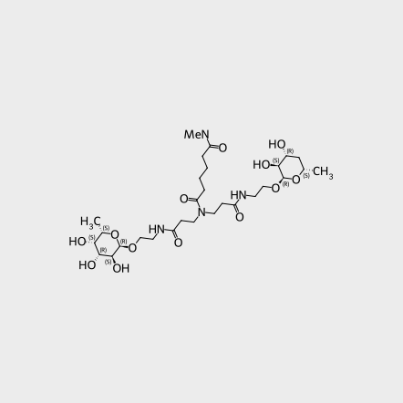 CNC(=O)CCCCC(=O)N(CCC(=O)NCCO[C@@H]1O[C@@H](C)[C@@H](O)[C@@H](O)[C@@H]1O)CCC(=O)NCCO[C@@H]1O[C@@H](C)C[C@@H](O)[C@@H]1O